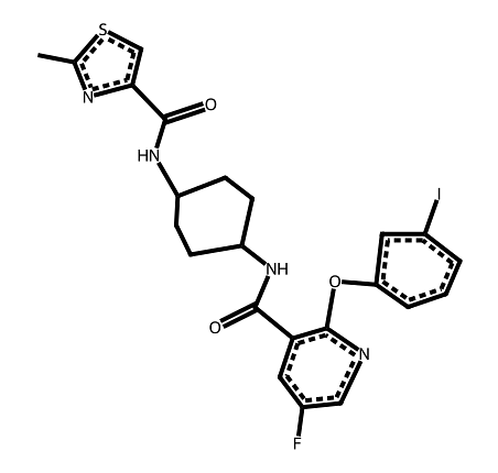 Cc1nc(C(=O)NC2CCC(NC(=O)c3cc(F)cnc3Oc3cccc(I)c3)CC2)cs1